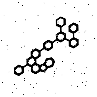 C1=CC(c2nc(-c3ccc(-c4ccc5nc(-c6ccccc6)c6ccc7sc8ccccc8c7c6c5c4)cc3)cc(-c3ccccc3-c3ccccc3)n2)=CCC1